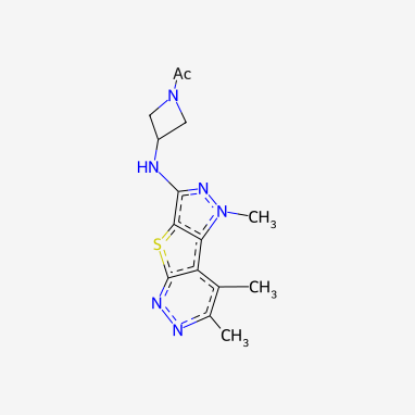 CC(=O)N1CC(Nc2nn(C)c3c2sc2nnc(C)c(C)c23)C1